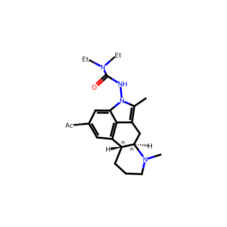 CCN(CC)C(=O)Nn1c(C)c2c3c(cc(C(C)=O)cc31)[C@H]1CCCN(C)[C@@H]1C2